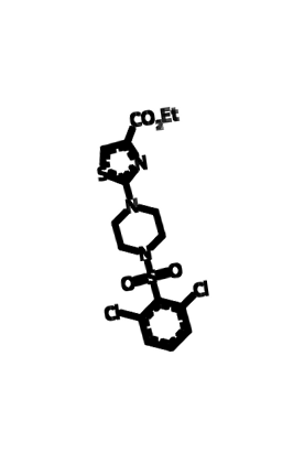 CCOC(=O)c1csc(N2CCN(S(=O)(=O)c3c(Cl)cccc3Cl)CC2)n1